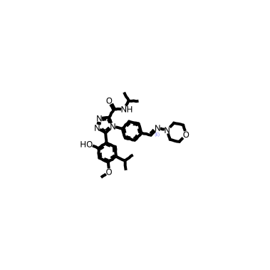 COc1cc(O)c(-c2nnc(C(=O)NC(C)C)n2-c2ccc(/C=N/N3CCOCC3)cc2)cc1C(C)C